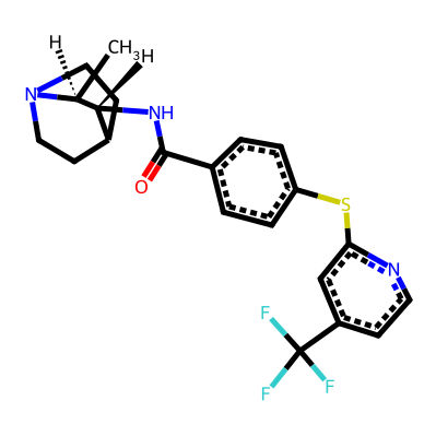 C[C@H]1[C@H](NC(=O)c2ccc(Sc3cc(C(F)(F)F)ccn3)cc2)C2CCN1CC2